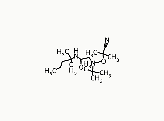 CCCC(C)(C)NC(=O)CN(OC(C)(C)C#N)C(C)(C)C